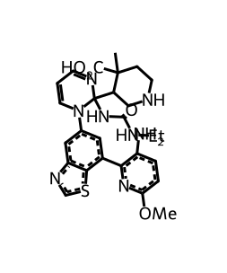 CCNC(=O)NC1(C2CNCCC2(C)C(=O)O)N=CC=CN1c1cc(-c2nc(OC)ccc2N)c2scnc2c1